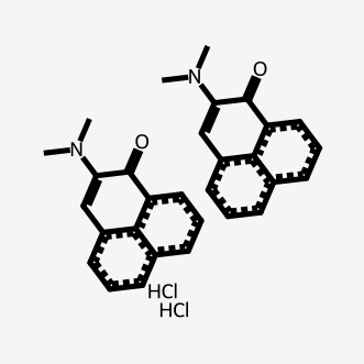 CN(C)C1=Cc2cccc3cccc(c23)C1=O.CN(C)C1=Cc2cccc3cccc(c23)C1=O.Cl.Cl